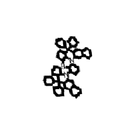 c1ccc(C2(c3ccccc3)c3cc4ccccc4cc3N3c4cccc5c4B(c4cccc2c43)c2cccc3c2N5c2cc4ccccc4cc2C3(c2ccccc2)c2ccccc2)cc1